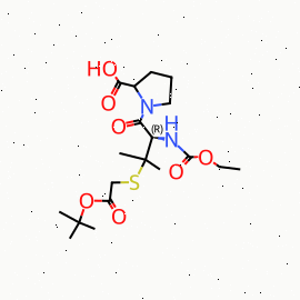 CCOC(=O)N[C@H](C(=O)N1CCCC1C(=O)O)C(C)(C)SCC(=O)OC(C)(C)C